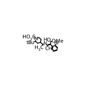 COC(=O)/C(=C(/C)NC(C)C1CCN(C(=O)O)C(C(C)(C)C)C1)c1ccccc1Br